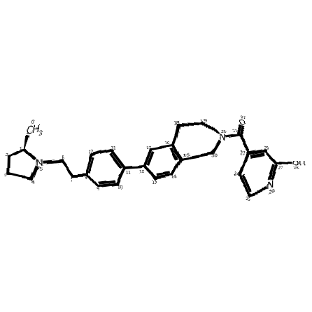 C[C@@H]1CCCN1CCc1ccc(-c2ccc3c(c2)CCN(C(=O)c2ccnc(O)c2)C3)cc1